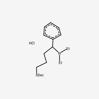 CCCCCCCCCCCCCC(c1ccccc1)N(CC)CC.Cl